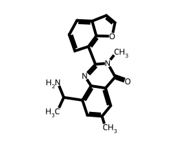 Cc1cc(C(C)N)c2nc(-c3cccc4ccoc34)n(C)c(=O)c2c1